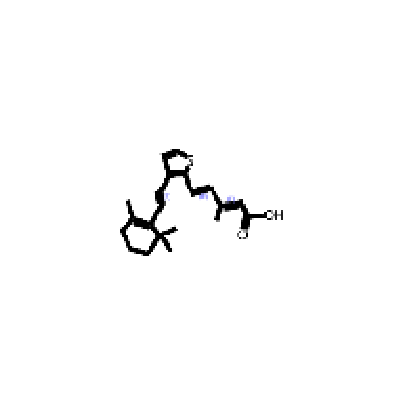 CC1=C(/C=C/c2ccsc2/C=C/C(C)=C/C(=O)O)C(C)(C)CCC1